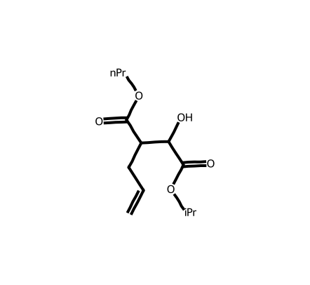 C=CCC(C(=O)OCCC)C(O)C(=O)OC(C)C